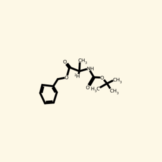 [2H]C(C)(NC(=O)OC(C)(C)C)C(=O)OCc1ccccc1